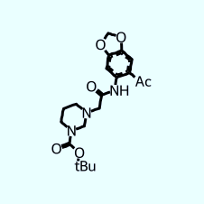 CC(=O)c1cc2c(cc1NC(=O)CN1CCCN(C(=O)OC(C)(C)C)C1)OCO2